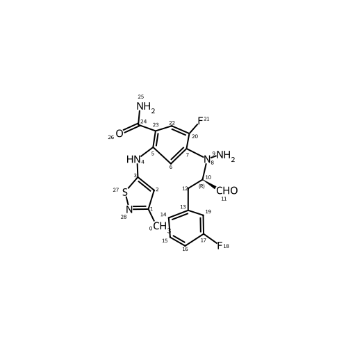 Cc1cc(Nc2cc(N(N)[C@@H](C=O)Cc3cccc(F)c3)c(F)cc2C(N)=O)sn1